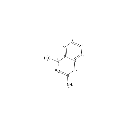 CNc1ccccc1CC(N)=O